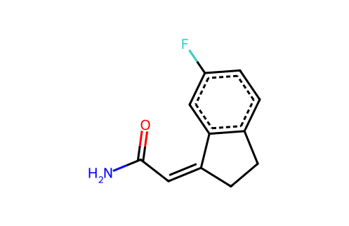 NC(=O)/C=C1/CCc2ccc(F)cc21